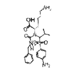 CC(C)C(N(C(=O)NCc1ccccc1)[C@@H](CCCCN)C(=O)O)S(=O)(=O)c1ccc(N)cc1